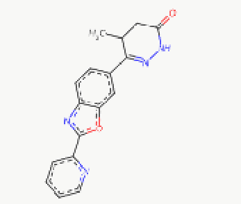 CC1CC(=O)NN=C1c1ccc2nc(-c3ccccn3)oc2c1